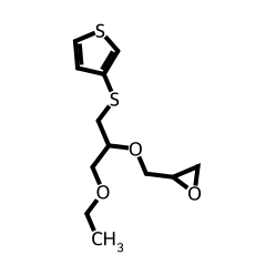 CCOCC(CSc1ccsc1)OCC1CO1